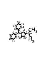 CC(C)C1=C[C](C(c2ccccc2)c2ccccc2)C=C1